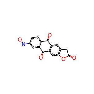 O=Nc1ccc2c(c1)C(=O)c1cc3c(cc1C2=O)CC(=O)O3